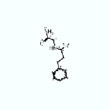 [2H]C(CCc1ccccc1)NCC(N)=O